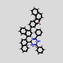 c1ccc(C2=NC(c3c(-c4ccc(-c5ccc6c(c5)sc5ccc7ccccc7c56)c5ccccc45)ccc4ccccc34)NC(c3ccccc3)N2)cc1